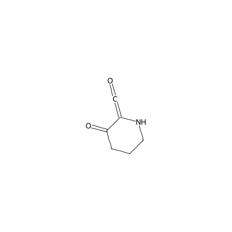 O=C=C1NCCCC1=O